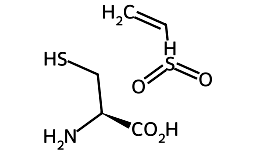 C=C[SH](=O)=O.N[C@@H](CS)C(=O)O